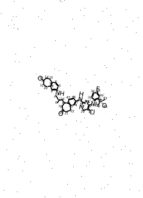 CC(CNc1ccc2c(c1)CCC(=O)CC2)CC1CC(=O)CCc2cc(Nc3ncc(Cl)c(Nc4ccc(F)cc4P(C)(C)=O)n3)ccc21